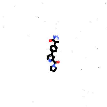 CC(C(N)=O)c1ccc(-c2ccnc(C(=O)N3CCCC3)c2)cc1